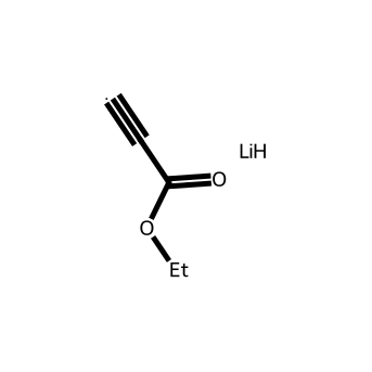 [C]#CC(=O)OCC.[LiH]